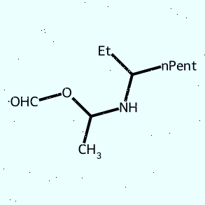 CCCCCC(CC)NC(C)O[C]=O